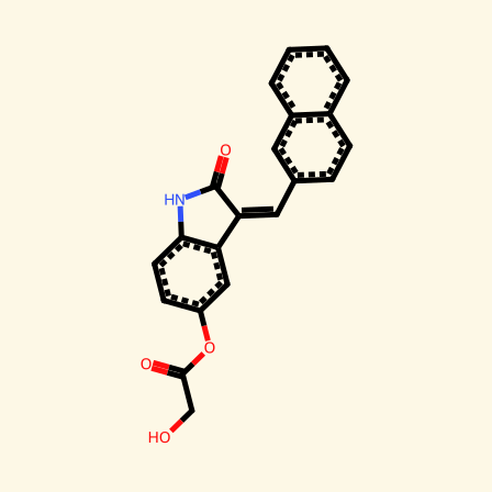 O=C(CO)Oc1ccc2c(c1)C(=Cc1ccc3ccccc3c1)C(=O)N2